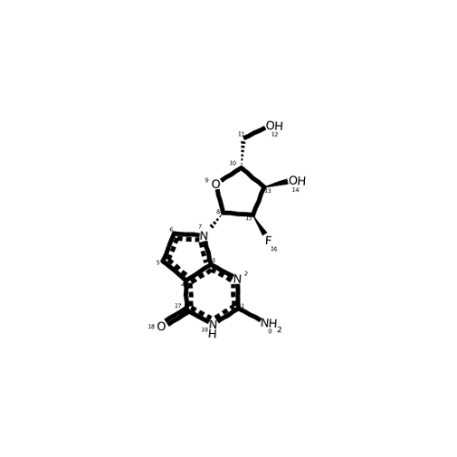 Nc1nc2c(ccn2[C@@H]2O[C@H](CO)[C@@H](O)[C@H]2F)c(=O)[nH]1